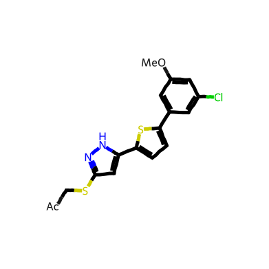 COc1cc(Cl)cc(-c2ccc(-c3cc(SCC(C)=O)n[nH]3)s2)c1